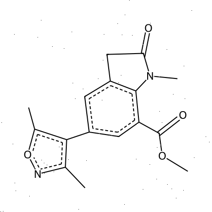 COC(=O)c1cc(-c2c(C)noc2C)cc2c1N(C)C(=O)C2